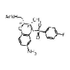 CC(=O)NC[C@H]1Oc2ccc(N)cc2N(S(=O)(=O)c2ccc(F)cc2)[C@H]1C